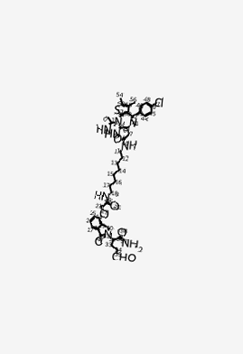 CC(=N)N1C(=N)[C@H](CC(=O)NCCCCCCCCNC(=O)COc2cccc3c2CN(C(CCC=O)C(N)=O)C3=O)N=C(c2ccc(Cl)cc2)c2c1sc(C)c2C